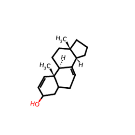 C[C@@]12CCC[C@H]1C1=CCC3CC(O)C=C[C@]3(C)[C@H]1CC2